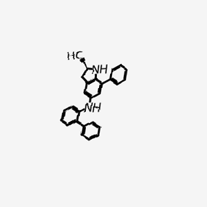 C#C[C@@H]1Cc2cc(Nc3ccccc3-c3ccccc3)cc(-c3ccccc3)c2N1